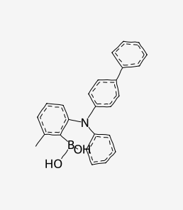 Cc1cccc(N(c2ccccc2)c2ccc(-c3ccccc3)cc2)c1B(O)O